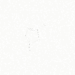 Nc1ncc(Br)[nH]1